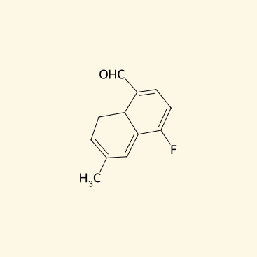 CC1=CCC2C(C=O)=CC=C(F)C2=C1